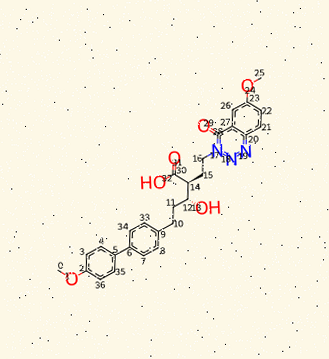 COc1ccc(-c2ccc(CC[C@@H](O)[C@H](CCn3nnc4ccc(OC)cc4c3=O)C(=O)O)cc2)cc1